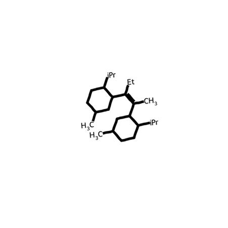 CCC(=C(C)C1CC(C)CCC1C(C)C)C1CC(C)CCC1C(C)C